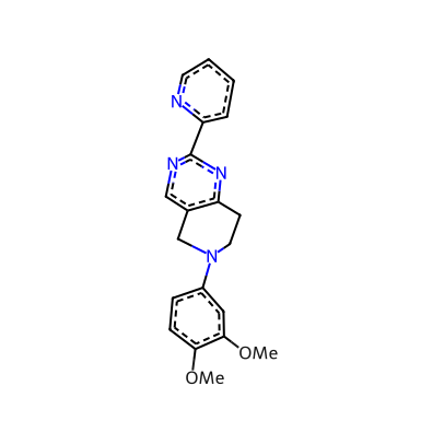 COc1ccc(N2CCc3nc(-c4ccccn4)ncc3C2)cc1OC